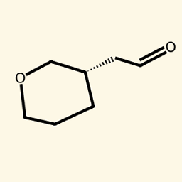 O=CC[C@@H]1CCCOC1